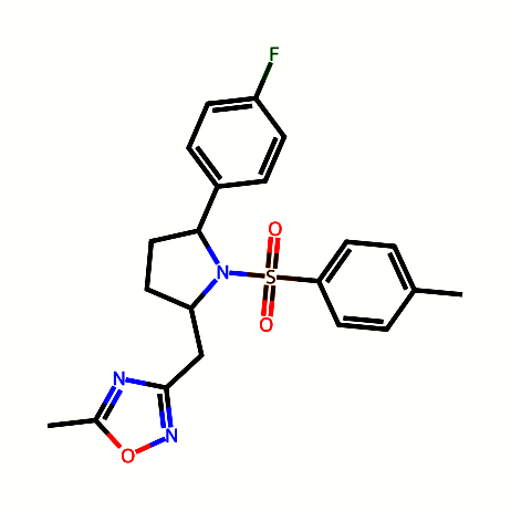 Cc1ccc(S(=O)(=O)N2C(Cc3noc(C)n3)CCC2c2ccc(F)cc2)cc1